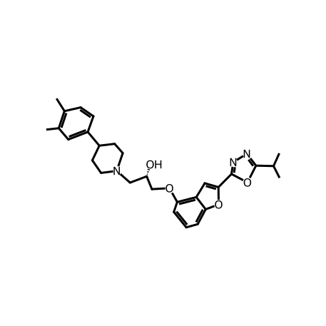 Cc1ccc(C2CCN(C[C@H](O)COc3cccc4oc(-c5nnc(C(C)C)o5)cc34)CC2)cc1C